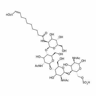 CCCCCCCC/C=C\CCCCCCCC(=O)N[C@H]1C(O)[C@H](O)[C@@H](CO)O[C@H]1O[C@H]1C(O)[C@@H](NC(C)=O)[C@H](O[C@H]2C(O)[C@H](NC(C)=O)[C@H](O[C@H]3C(O)[C@@H](NC(C)=O)C(O)O[C@@H]3COS(=O)(=O)O)O[C@@H]2CO)O[C@@H]1CO